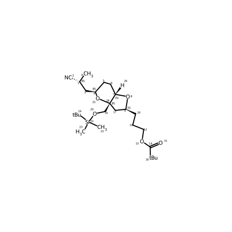 C[C@@H](C#N)C[C@H]1CC[C@@H]2O[C@@H](CCCOC(=O)C(C)(C)C)C[C@]2(CO[Si](C)(C)C(C)(C)C)O1